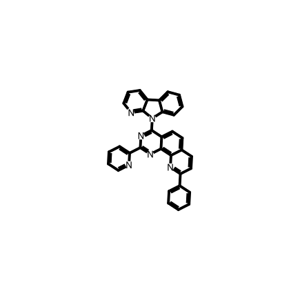 c1ccc(-c2ccc3ccc4c(-n5c6ccccc6c6cccnc65)nc(-c5ccccn5)nc4c3n2)cc1